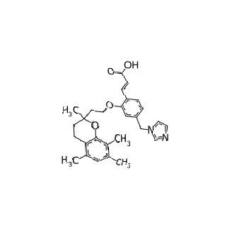 Cc1cc(C)c2c(c1C)OC(C)(CCOc1cc(Cn3ccnc3)ccc1/C=C/C(=O)O)CC2